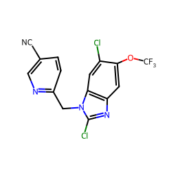 N#Cc1ccc(Cn2c(Cl)nc3cc(OC(F)(F)F)c(Cl)cc32)nc1